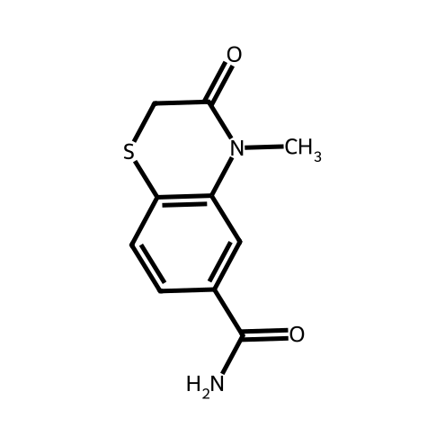 CN1C(=O)CSc2ccc(C(N)=O)cc21